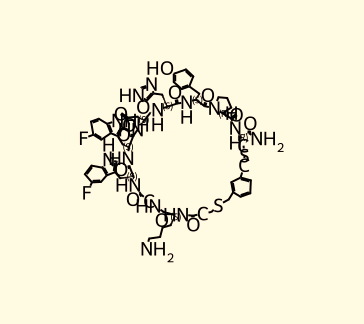 NCCCC[C@@H]1NC(=O)CCSCc2cccc(c2)CSC[C@@H](C(N)=O)NC(=O)[C@H]2CCCN2C(=O)[C@H](Cc2ccc(O)cc2)NC(=O)[C@H](Cc2c[nH]cn2)NC(=O)[C@H](CC(=O)O)NC(=O)[C@H](Cc2c[nH]c3ccc(F)cc23)NC(=O)[C@H](Cc2c[nH]c3ccc(F)cc23)NC(=O)CNC1=O